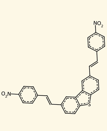 O=[N+]([O-])c1ccc(C=Cc2ccc3sc4ccc(C=Cc5ccc([N+](=O)[O-])cc5)cc4c3c2)cc1